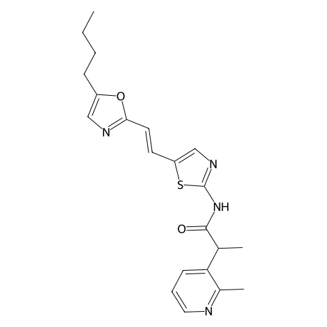 CCCCc1cnc(/C=C/c2cnc(NC(=O)C(C)c3cccnc3C)s2)o1